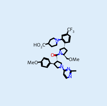 COC[C@@H]1C[C@@H](c2ccc(C(F)(F)F)cc2N2CCC(C(=O)O)CC2)CN1C(=O)[C@@H]1CN(c2ccnc(C)n2)C[C@H]1c1ccc(OC)cc1